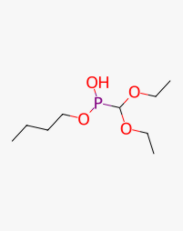 CCCCOP(O)C(OCC)OCC